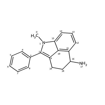 Cn1c(-c2ccccc2)c2c3c(cccc31)C(N)CC2